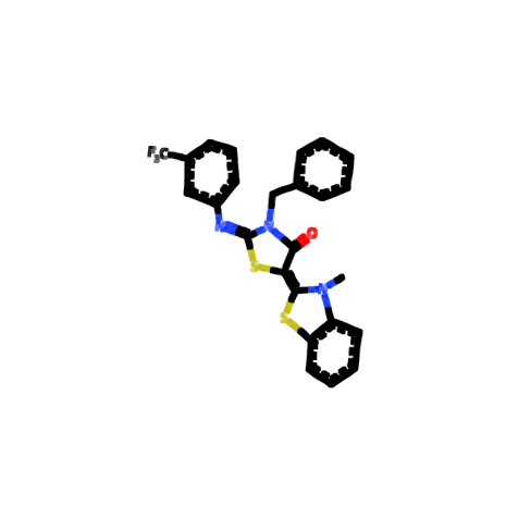 CN1/C(=C2/S/C(=N/c3cccc(C(F)(F)F)c3)N(Cc3ccccc3)C2=O)Sc2ccccc21